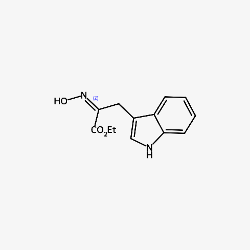 CCOC(=O)/C(Cc1c[nH]c2ccccc12)=N\O